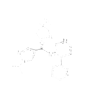 CC(C)n1cc(C(=O)Nc2c(-c3ccccc3F)ccnc2N2CCC(F)(P)C2)cn1